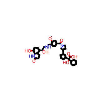 COc1cc(C(=O)N2CC=C(c3cccc(C(O)(C(=O)O)c4ccccc4)c3)C2)ccc1CNCC(O)c1ccc(O)c2[nH]c(=O)ccc12